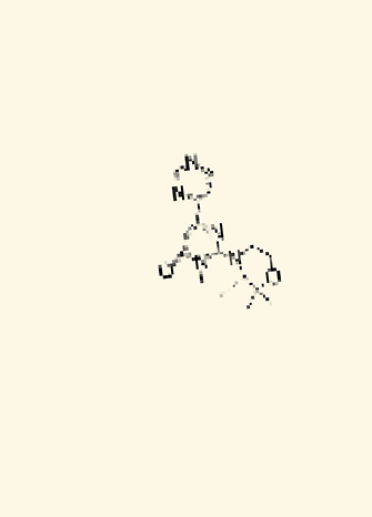 C[C@@H]1N(c2nc(-c3ccncn3)cc(=O)n2C)CCOC1(C)C